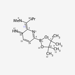 CN/C(=C1/N=C(B2OC(C)(C)C(C)(C)O2)C=CC1=N)C(C)C